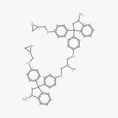 CC1CC(c2ccc(OCC(O)COc3ccc(C4(c5ccc(OCC6CO6)cc5)CC(C)c5ccccc54)cc3)cc2)(c2ccc(OCC3CO3)cc2)c2ccccc21